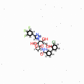 O=C(N[C@@H]1CCO[C@]12O[C@H](CO)[C@H](O)[C@H](n1cc(-c3cc(F)c(F)c(F)c3)nn1)[C@H]2O)c1cccc(-c2cccc(Cl)c2)c1